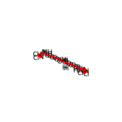 CN1Cc2c(Cl)cc(Cl)cc2C(c2cccc(/C(=C/NCCOCCOCCOCCOCCOCCNC(=O)NCCCCNC(=O)NCCOCCOCCOCCOCCOCCN/C=C(\N=N)c3cccc(C4CN(C)Cc5c(Cl)cc(Cl)cc54)c3)N=N)c2)C1